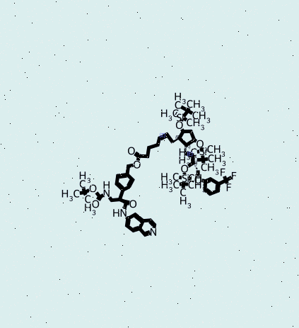 CC(C)(C)OC(=O)NCC(C(=O)Nc1ccc2cnccc2c1)c1ccc(COC(=O)CCC/C=C\C[C@H]2C(O[Si](C)(C)C(C)(C)C)CC(O[Si](C)(C)C(C)(C)C)[C@@H]2/C=C/[C@H](COc2cccc(C(F)(F)F)c2)O[Si](C)(C)C(C)(C)C)cc1